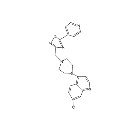 Clc1ccc2c(N3CCN(Cc4noc(-c5ccncc5)n4)CC3)ccnc2c1